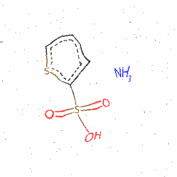 N.O=S(=O)(O)c1cccs1